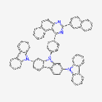 c1ccc2cc(-c3nc(-c4ccc(-n5c6cc(-n7c8ccccc8c8ccccc87)ccc6c6ccc(-n7c8ccccc8c8ccccc87)cc65)cc4)c4c(ccc5ccccc54)n3)ccc2c1